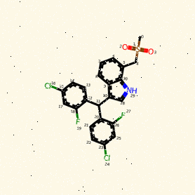 CS(=O)(=O)Cc1cccc2c(C(c3ccc(Cl)cc3F)c3ccc(Cl)cc3F)c[nH]c12